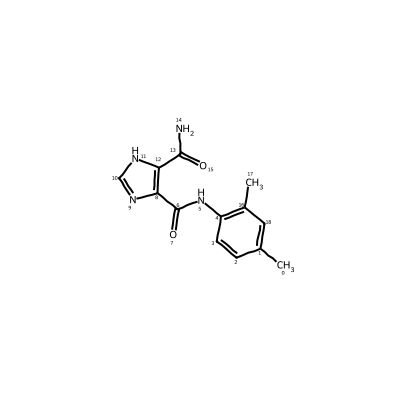 Cc1ccc(NC(=O)c2nc[nH]c2C(N)=O)c(C)c1